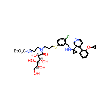 CCOC(=O)NCCCN(CCCSc1ccc(Cl)c(CNC2(c3cnccc3-c3ccccc3OC3CC3)CC2)c1)C(=O)[C@@H](O)[C@@H](O)[C@H](O)[C@@H](O)CO